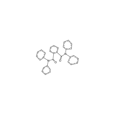 O=C(c1ccccc1C(=O)N(c1ccccc1)c1ccccc1)N(c1ccccc1)c1ccccc1